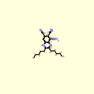 CCCCCc1nc2cc(C#N)c(C#N)c(N)c2nc1CCCCC